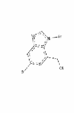 CCn1cnc2cc(Br)cc(CO)c21